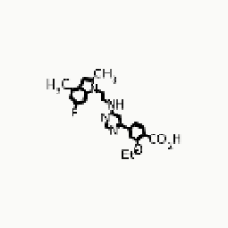 CCOc1cc(-c2cc(NCCn3c(C)cc4c(C)cc(F)cc43)ncn2)ccc1C(=O)O